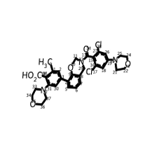 Cc1cc(-c2cccc3c2OCN(C(=O)c2c(Cl)cc(N4CCOCC4)cc2Cl)C3)cc(N2CCOCC2)c1C(=O)O